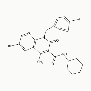 Cc1c(C(=O)NC2CCCCC2)c(=O)n(Cc2ccc(F)cc2)c2ncc(Br)cc12